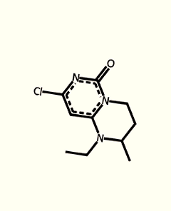 CCN1c2cc(Cl)nc(=O)n2CCC1C